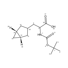 CC(C)(C)OC(=O)NC(CC1C[C@@H]2C[C@@H]2C1)C(=O)O